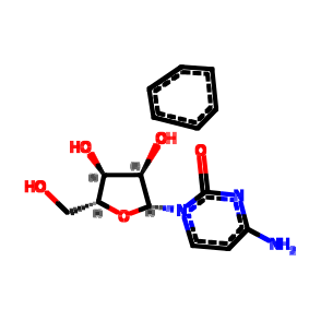 Nc1ccn([C@@H]2O[C@H](CO)[C@@H](O)[C@H]2O)c(=O)n1.c1ccccc1